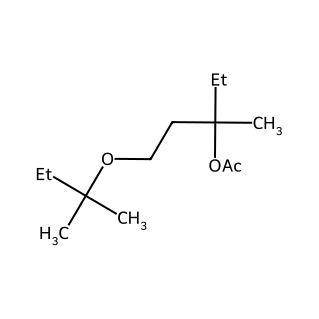 CCC(C)(C)OCCC(C)(CC)OC(C)=O